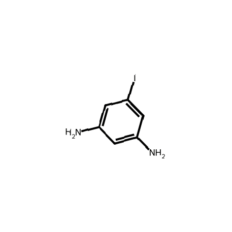 Nc1cc(N)cc(I)c1